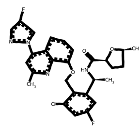 Cc1cc(-n2cc(F)cn2)c2cccc(OCc3c(Cl)cc(F)cc3[C@H](C)NC(=O)[C@@H]3CC[C@H](C)O3)c2n1